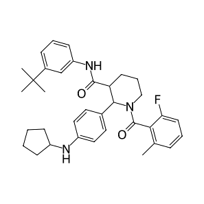 Cc1cccc(F)c1C(=O)N1CCCC(C(=O)Nc2cccc(C(C)(C)C)c2)C1c1ccc(NC2CCCC2)cc1